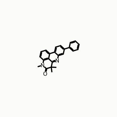 CN1C(=O)C(C)(C)c2nc3cc(-c4ccccc4)ccc3c3cccc1c23